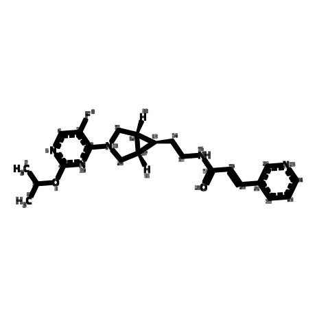 CC(C)Oc1ncc(F)c(N2C[C@@H]3[C@@H](CCNC(=O)/C=C/c4cccnc4)[C@@H]3C2)n1